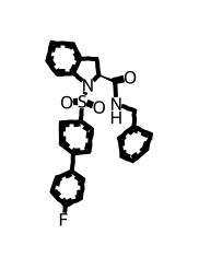 O=C(NCc1ccccc1)[C@@H]1Cc2ccccc2N1S(=O)(=O)c1ccc(-c2ccc(F)cc2)cc1